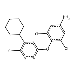 Nc1cc(Cl)c(Oc2cc(C3CCCCC3)c(Cl)nn2)c(Cl)c1